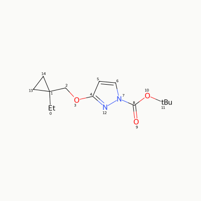 CCC1(COc2ccn(C(=O)OC(C)(C)C)n2)CC1